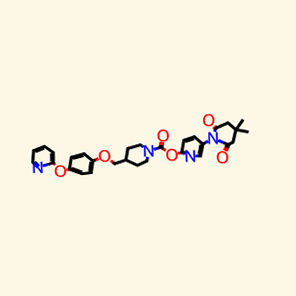 CC1(C)CC(=O)N(c2ccc(OC(=O)N3CCC(COc4ccc(Oc5ccccn5)cc4)CC3)nc2)C(=O)C1